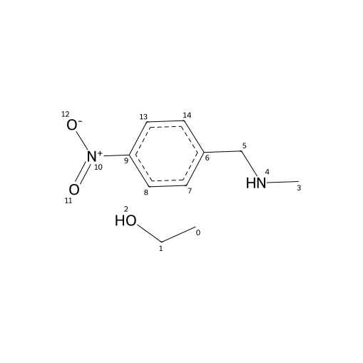 CCO.CNCc1ccc([N+](=O)[O-])cc1